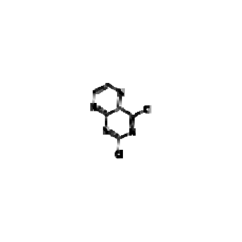 Clc1nc(Cl)c2nccnc2n1